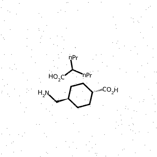 CCCC(CCC)C(=O)O.NC[C@H]1CC[C@H](C(=O)O)CC1